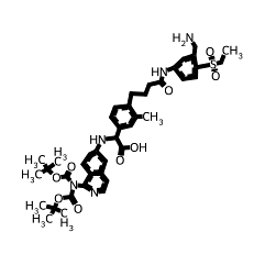 CCS(=O)(=O)c1ccc(NC(=O)CCCc2ccc(C(Nc3ccc4c(N(C(=O)OC(C)(C)C)C(=O)OC(C)(C)C)nccc4c3)C(=O)O)cc2C)cc1CN